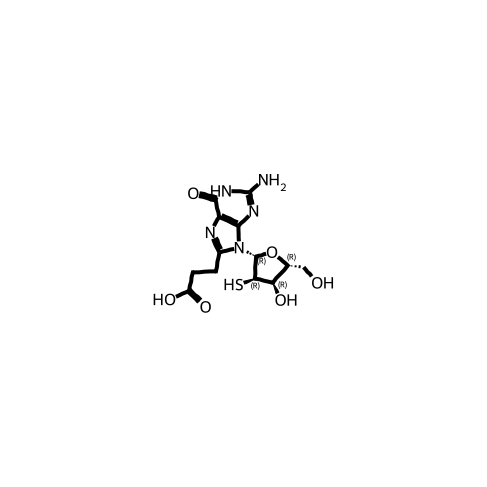 Nc1nc2c(nc(CCC(=O)O)n2[C@@H]2O[C@H](CO)[C@@H](O)[C@H]2S)c(=O)[nH]1